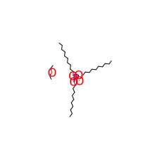 CCCCCCCCCCOP(=O)(OCCCCCCCCCC)OCCCCCCCCCC.CCOCC